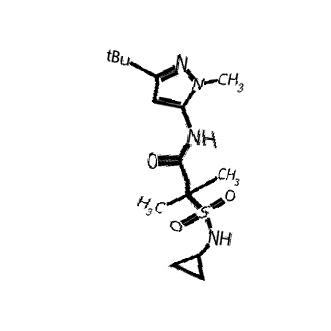 Cn1nc(C(C)(C)C)cc1NC(=O)C(C)(C)S(=O)(=O)NC1CC1